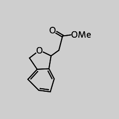 COC(=O)CC1OCc2ccccc21